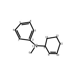 CN(c1ccccc1)C1C=CCCC1